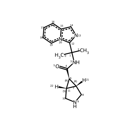 CC(C)(NC(=O)[C@H]1[C@@H]2CNC[C@@H]21)c1ncc2ccccn12